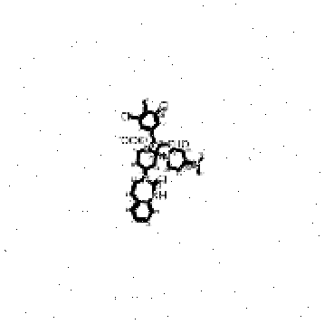 Cc1c(Cl)cc(C[N@+]2(C(=O)[O-])CCC(N3CCc4ccccc4NC3=O)CC2(CC=O)N2CCC(N(C)C)CC2)cc1Cl